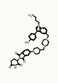 NCCCn1cc(-c2ccc(O)cc2)c2cc(CN3CCN(CC4CCN(c5ccc6c(c5)C(=O)N(C5CCC(=O)NC5=O)C6=O)CC4)CC3)ccc21